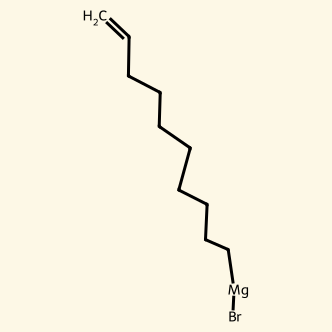 C=CCCCCCCC[CH2][Mg][Br]